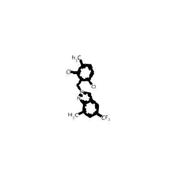 Cc1ccc(Cl)c(Cn2cc3cc(C(F)(F)F)cc(C)c3n2)c1Cl